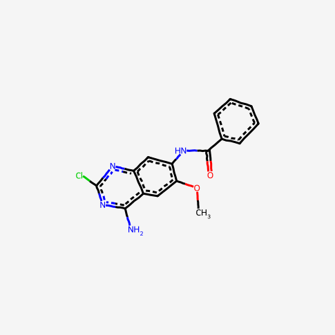 COc1cc2c(N)nc(Cl)nc2cc1NC(=O)c1ccccc1